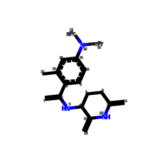 C=C1CCC(NC(=C)c2ccc(N(CCC)CCC)cc2C)C(=C)N1